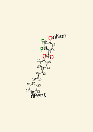 CCCCCCCCCOc1ccc(C(=O)Oc2ccc(CCC=C[C@H]3CC[C@H](CCCCC)CC3)cc2)c(F)c1F